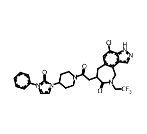 O=C(CC1Cc2cc(Cl)c3[nH]ncc3c2CN(CC(F)(F)F)C1=O)N1CCC(n2ccn(-c3ccccc3)c2=O)CC1